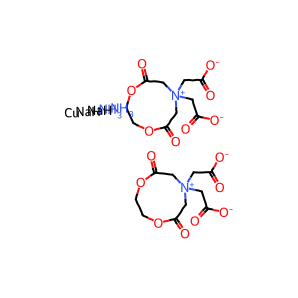 N.N.O=C([O-])C[N+]1(CC(=O)[O-])CC(=O)OCCOC(=O)C1.O=C([O-])C[N+]1(CC(=O)[O-])CC(=O)OCCOC(=O)C1.[Cu].[NaH].[NaH]